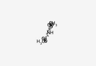 CS(=O)(=O)CCCCNCCCOS(C)(=O)=O